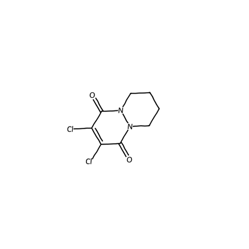 O=c1c(Cl)c(Cl)c(=O)n2n1CCCC2